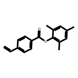 C=Cc1ccc(C(=O)Oc2c(C)cc(C)cc2C)cc1